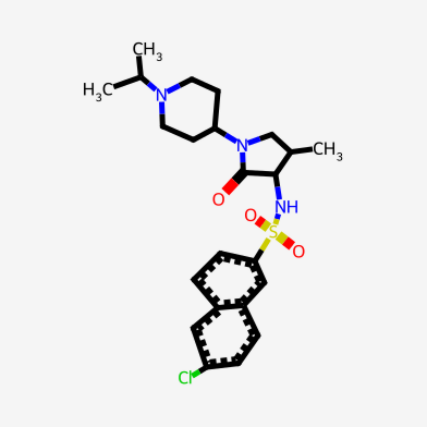 CC1CN(C2CCN(C(C)C)CC2)C(=O)C1NS(=O)(=O)c1ccc2cc(Cl)ccc2c1